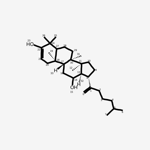 C=C(CCCC(C)C)[C@H]1CC[C@@]2(C)[C@@H]1C(O)C[C@@H]1[C@@]3(C)CC=C(O)C(C)(C)C3CC[C@]12C